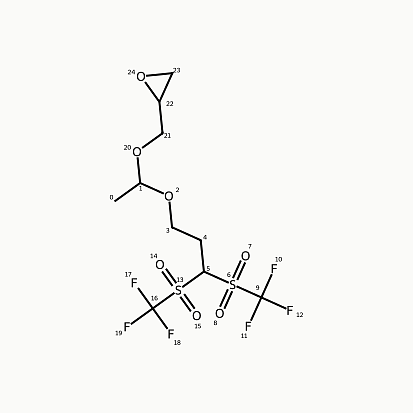 CC(OCCC(S(=O)(=O)C(F)(F)F)S(=O)(=O)C(F)(F)F)OCC1CO1